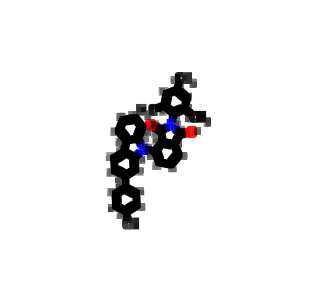 Cc1cc(C)c(N2C(=O)c3cccc(-n4c5ccccc5c5ccc(-c6ccc(C#N)cc6)cc54)c3C2=O)c(C)c1